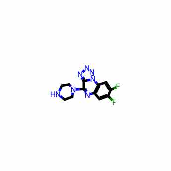 Fc1cc2nc(N3CCNCC3)c3nnnn3c2cc1F